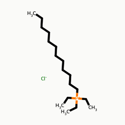 CCCCCCCCCCCC[P+](CC)(CC)CC.[Cl-]